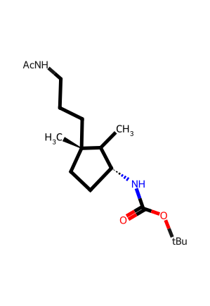 CC(=O)NCCC[C@@]1(C)CC[C@@H](NC(=O)OC(C)(C)C)C1C